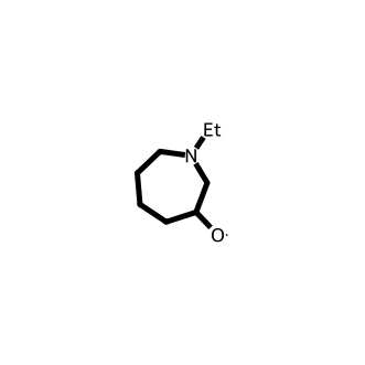 CCN1CCCCC([O])C1